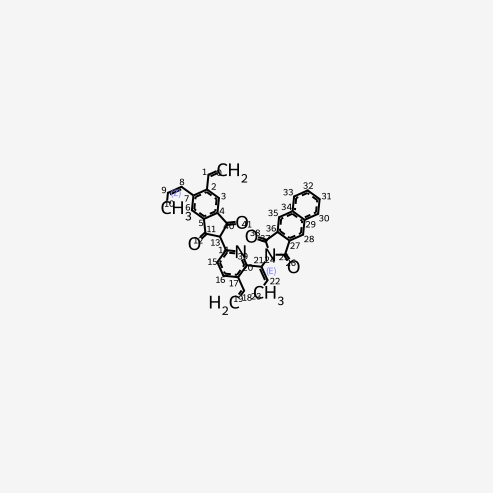 C=Cc1cc2c(cc1/C=C\C)C(=O)C(c1ccc(C=C)c(/C(=C\C)N3C(=O)c4cc5ccccc5cc4C3=O)n1)C2=O